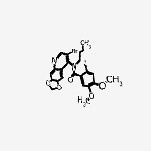 CCCCN(C(=O)c1cc(OC)c(OC)cc1I)c1c(Br)cnc2cc3c(cc12)OCO3